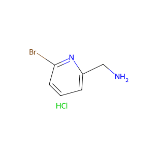 Cl.NCc1cccc(Br)n1